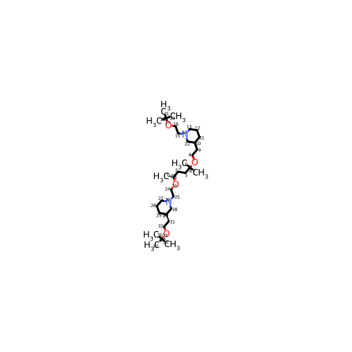 C[C@H](CCC(C)(C)OCCC1CCCN(CCOC(C)(C)C)C1)OCCN1CCC[C@H](CCOC(C)(C)C)C1